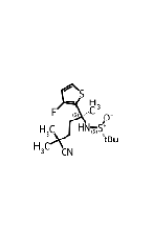 CC(C)(C#N)CC[C@](C)(N[S@+]([O-])C(C)(C)C)c1sccc1F